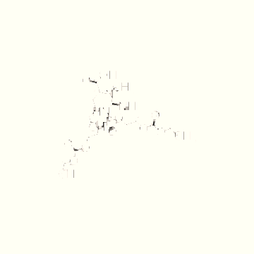 CCCCC(C(=O)O)N(C)C(=N)NP(=O)(OCCOC(=O)OCC)OCCOC(=O)OCC